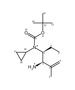 C=C(C)[C@@H](N)[C@H](CC)N(C(=O)OC(C)(C)C)C1CC1